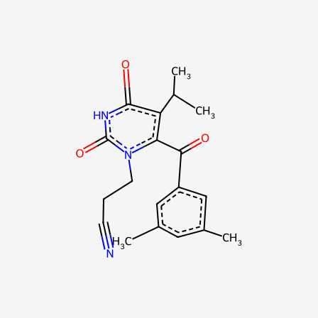 Cc1cc(C)cc(C(=O)c2c(C(C)C)c(=O)[nH]c(=O)n2CCC#N)c1